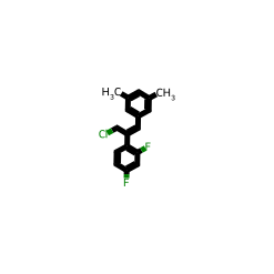 Cc1cc(C)cc(C=C(CCl)c2ccc(F)cc2F)c1